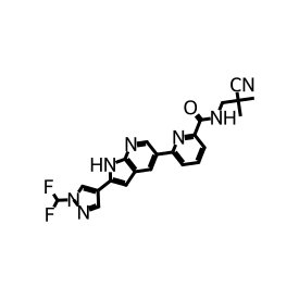 CC(C)(C#N)CNC(=O)c1cccc(-c2cnc3[nH]c(-c4cnn(C(F)F)c4)cc3c2)n1